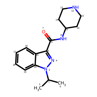 CC(C)n1nc(C(=O)NC2CCNCC2)c2ccccc21